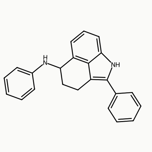 c1ccc(NC2CCc3c(-c4ccccc4)[nH]c4cccc2c34)cc1